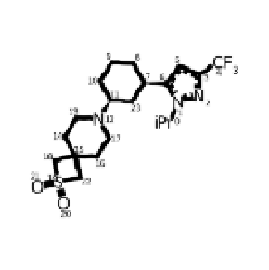 CC(C)n1nc(C(F)(F)F)cc1[C@@H]1CCC[C@H](N2CCC3(CC2)CS(=O)(=O)C3)C1